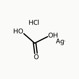 Cl.O=C(O)O.[Ag]